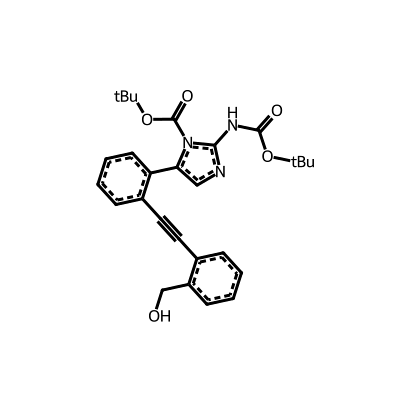 CC(C)(C)OC(=O)Nc1ncc(-c2ccccc2C#Cc2ccccc2CO)n1C(=O)OC(C)(C)C